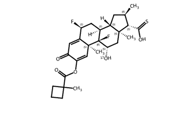 C[C@@H]1C[C@H]2[C@@H]3C[C@H](F)C4=CC(=O)C(OC(=O)C5(C)CCC5)=C[C@]4(C)[C@@]3(F)[C@@H]([17OH])C[C@]2(C)[C@H]1C(O)=S